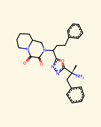 C[C@@](N)(Cc1ccccc1)c1nnc(C(CCc2ccccc2)N2CC3CCCCN3C(=O)C2=O)o1